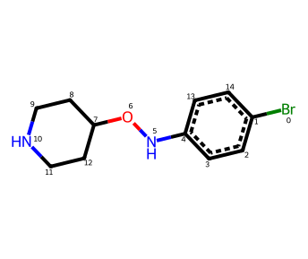 Brc1ccc(NOC2CCNCC2)cc1